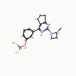 C[C@H]1CCN1c1nc2c(c(-c3cccc(OC(F)F)c3)n1)CCC2